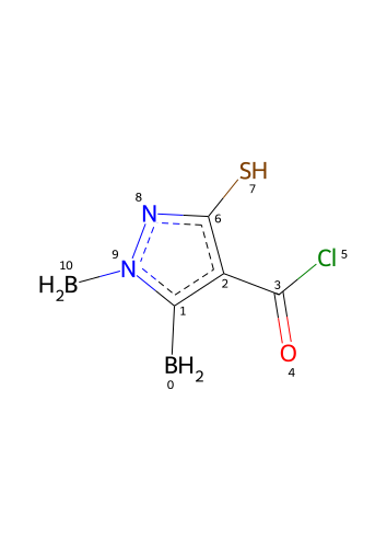 Bc1c(C(=O)Cl)c(S)nn1B